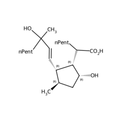 CCCCCC(C(=O)O)[C@H]1[C@@H](C=CC(C)(O)CCCCC)[C@H](C)C[C@H]1O